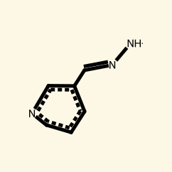 [NH]N=Cc1cccnc1